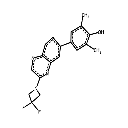 Cc1cc(-c2ccc3ncc(N4CC(F)(F)C4)nc3c2)cc(C)c1O